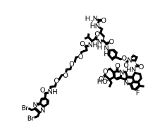 CC[C@]1(O)C(=O)OCc2c1cc1n(c2=O)Cc2c-1nc1cc(F)c(C)c3c1c2[C@H](NC(=O)[C@H]1CCN1C(=O)OCc1ccc(NC(=O)[C@H](CCCNC(N)=O)NC(=O)[C@@H](NC(=O)CCOCCOCCOCCOCCNC(=O)c2ccc4nc(CBr)c(CBr)nc4c2)C(C)C)cc1)CC3